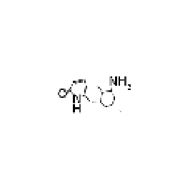 CC1C(N)C[C@H](C)C[C@@H]1Cc1cccc(=O)[nH]1